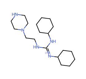 C1CCC(/N=C(/NCCN2CCNCC2)NC2CCCCC2)CC1